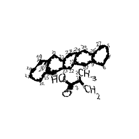 C=C(C)C(=O)O.c1ccc2cc3cc4cc5ccccc5cc4cc3cc2c1